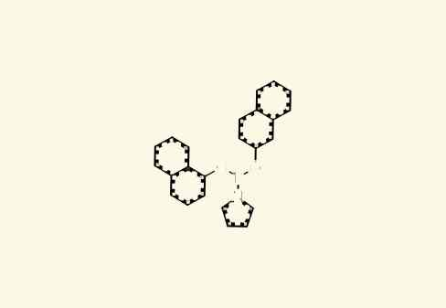 c1ccc2cc(OP(Oc3cccc4ccccc34)n3cccc3)ccc2c1